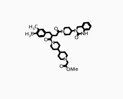 Bc1ccc(CC(CC(=O)N2CCC(N3Cc4ccccc4NC3=O)CC2)C(=O)N2CCC(C3CCN(CC(=O)OC)CC3)CC2)cc1C